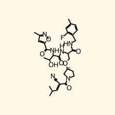 Cc1ccc(CNC(=O)C(CO[C@@H]2CCN(C(=O)C(C#N)=CC(C)C)C2)NC(=O)C(NC(=O)c2cc(C)no2)C(C)O)c(F)c1